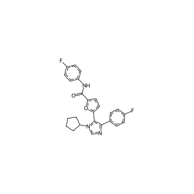 O=C(Nc1ccc(F)cc1)c1ccc(-c2c(-c3ccc(F)cc3)ncn2C2CCCC2)o1